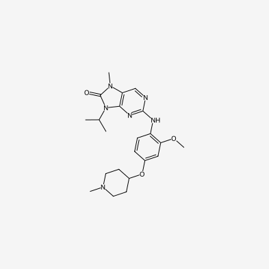 COc1cc(OC2CCN(C)CC2)ccc1Nc1ncc2c(n1)n(C(C)C)c(=O)n2C